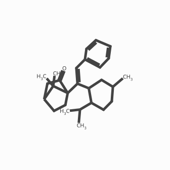 CC1CCC(C(C)C)C(C(=Cc2ccccc2)C23CCC(CC2=O)C3(C)C)C1